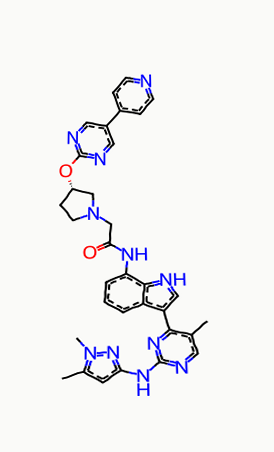 Cc1cnc(Nc2cc(C)n(C)n2)nc1-c1c[nH]c2c(NC(=O)CN3CC[C@H](Oc4ncc(-c5ccncc5)cn4)C3)cccc12